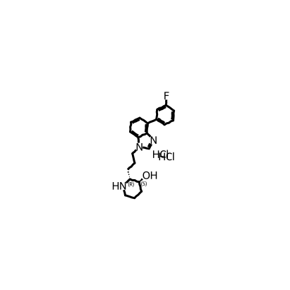 Cl.Cl.O[C@H]1CCCN[C@@H]1CCCn1cnc2c(-c3cccc(F)c3)cccc21